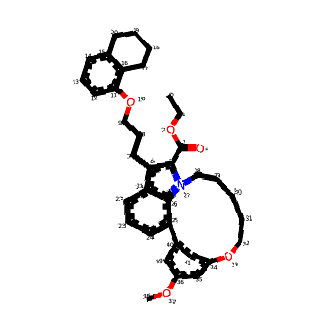 CCOC(=O)c1c(CCCOc2cccc3c2CCCC3)c2cccc3c2n1CCCCCOc1cc(OC)cc-3c1